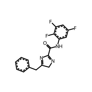 O=C(Nc1cc(F)cc(F)c1F)C1=NCC(Cc2ccccc2)=N1